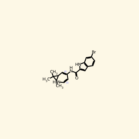 CC1C(/C=C(\C=C/N)NC(=O)c2cc3ccc(Br)cc3[nH]2)C1(C)C